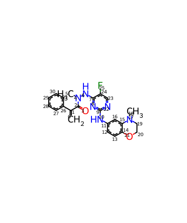 C=C(C(=O)N(C)Nc1nc(Nc2ccc3c(c2)N(C)CCO3)ncc1F)c1ccccc1